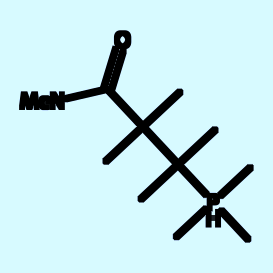 CNC(=O)C(C)(C)C(C)(C)[PH](C)(C)C